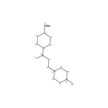 COC1CCC(N(C)CCN2CCN(C)CC2)CC1